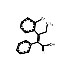 CC/C(=C(\C(=O)O)c1ccccc1)c1ccccc1Br